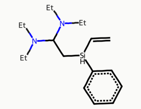 C=C[SiH](CC(N(CC)CC)N(CC)CC)c1ccccc1